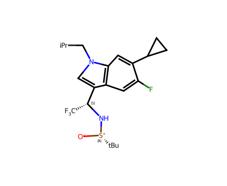 CC(C)Cn1cc([C@H](N[S@@+]([O-])C(C)(C)C)C(F)(F)F)c2cc(F)c(C3CC3)cc21